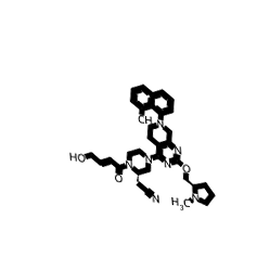 Cc1cccc2cccc(N3CCc4c(nc(OC[C@H]5CCCN5C)nc4N4CCN(C(=O)/C=C/CO)[C@@H](CC#N)C4)C3)c12